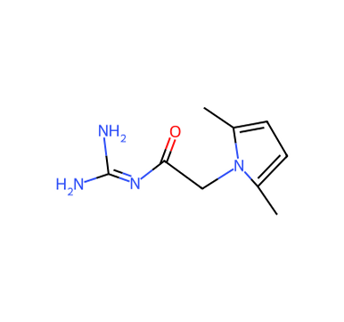 Cc1ccc(C)n1CC(=O)N=C(N)N